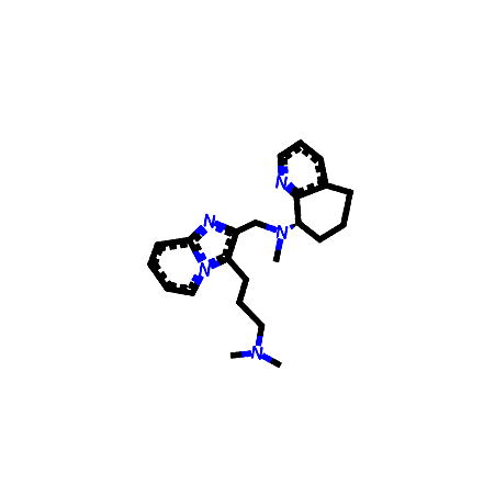 CN(C)CCCc1c(CN(C)[C@H]2CCCc3cccnc32)nc2ccccn12